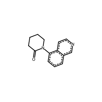 O=C1CCCCN1c1cccc2cnccc12